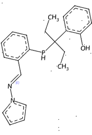 CCC(CC)(Pc1ccccc1/C=N/n1cccc1)c1ccccc1O